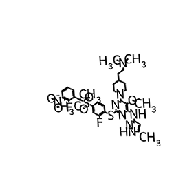 COc1c(Nc2cc(C)[nH]n2)nc(Sc2ccc(S(=O)(=O)C(C)(C)c3cccc([N+](=O)[O-])c3F)cc2F)nc1N1CCC(CCN(C)C)CC1